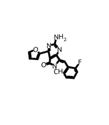 CN1C(=O)c2c(nc(N)nc2-c2ccco2)C1=Cc1ccccc1F